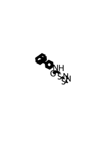 O=C(CSc1nncs1)Nc1ccc(C23CC4CC(CC(C4)C2)C3)cc1